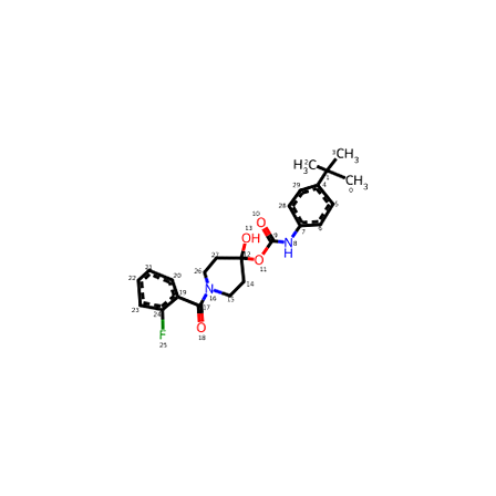 CC(C)(C)c1ccc(NC(=O)OC2(O)CCN(C(=O)c3ccccc3F)CC2)cc1